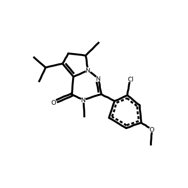 COc1ccc(C2=NN3C(=C(C(C)C)CC3C)C(=O)N2C)c(Cl)c1